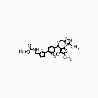 Cc1sc2c(c1C)C(c1ccc(-c3ccc(CNC(=O)OC(C)(C)C)s3)cc1)=NCc1nnc(C)n1-2